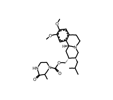 COc1cc2c(cc1OC)[C@H]1C[C@@H](COC(=O)N3CCNC(=O)C3C)[C@H](CC(C)C)CN1CC2